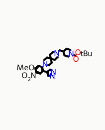 COc1cc(N2CCC3(CCN(CC4CCN(C(=O)OC(C)(C)C)CC4)CC3)CC2)c(-c2cnn(C)c2)cc1[N+](=O)[O-]